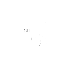 CCCNCC(CO[C@]1(C(=O)O)NCCC1c1ccccc1)OC